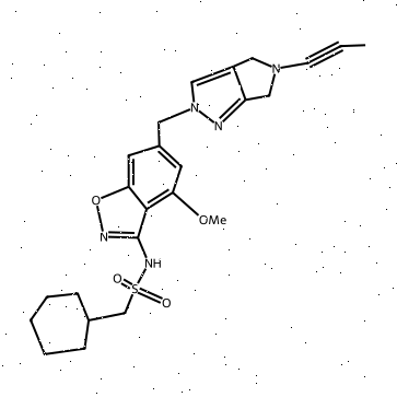 CC#CN1Cc2cn(Cc3cc(OC)c4c(NS(=O)(=O)CC5CCCCC5)noc4c3)nc2C1